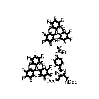 CCCCCCCCCCCc1nc(-c2ccc([O][Al]([CH2]C)[CH2]C)cc2)[nH]c1CCCCCCCCCCC.Fc1c(F)c(F)c(B(c2c(F)c(F)c(F)c(F)c2F)c2c(F)c(F)c(F)c(F)c2F)c(F)c1F.Fc1c(F)c(F)c(B(c2c(F)c(F)c(F)c(F)c2F)c2c(F)c(F)c(F)c(F)c2F)c(F)c1F